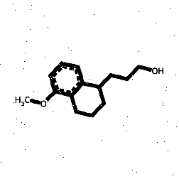 COc1cccc2c1CCCC2CCCO